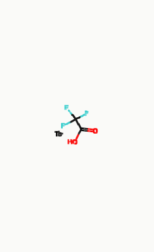 O=C(O)C(F)(F)F.[Tb]